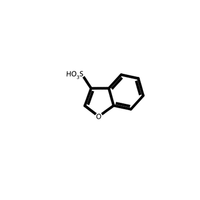 O=S(=O)(O)c1coc2ccccc12